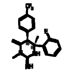 C=C1[C@@H](c2ccc(C(F)(F)F)cc2)[C@@](C)(c2ccccc2F)NC(=N)N1C